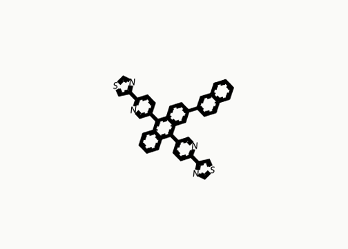 c1ccc2cc(-c3ccc4c(-c5ccc(-c6cscn6)nc5)c5ccccc5c(-c5ccc(-c6cscn6)nc5)c4c3)ccc2c1